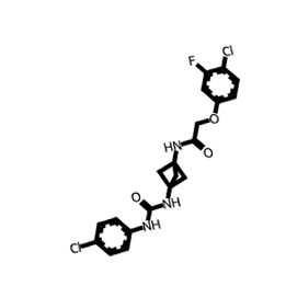 O=C(COc1ccc(Cl)c(F)c1)NC12CC(NC(=O)Nc3ccc(Cl)cc3)(C1)C2